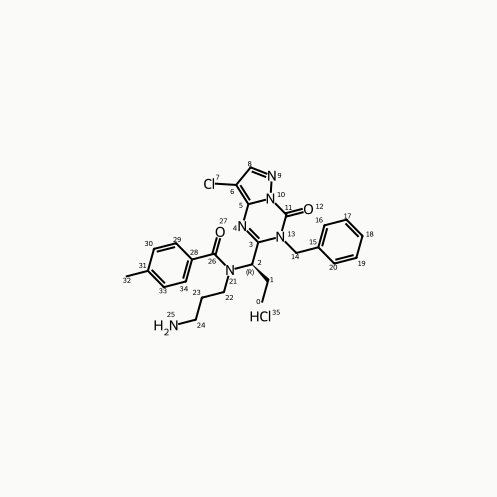 CC[C@H](c1nc2c(Cl)cnn2c(=O)n1Cc1ccccc1)N(CCCN)C(=O)c1ccc(C)cc1.Cl